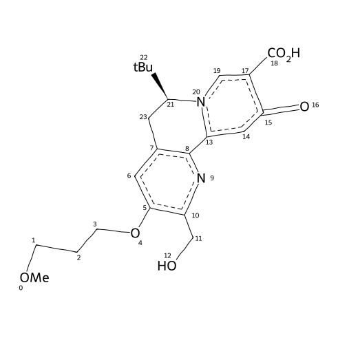 COCCCOc1cc2c(nc1CO)-c1cc(=O)c(C(=O)O)cn1[C@H](C(C)(C)C)C2